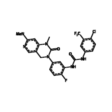 CNc1cc2c(cn1)CN(c1ccc(F)c(NC(=O)Nc3ccc(Cl)c(C(F)(F)F)c3)c1)C(=O)N2C